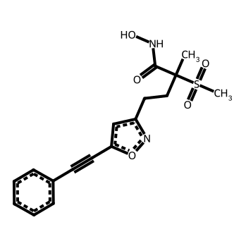 CC(CCc1cc(C#Cc2ccccc2)on1)(C(=O)NO)S(C)(=O)=O